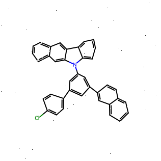 Clc1ccc(-c2cc(-c3ccc4ccccc4c3)cc(-n3c4ccccc4c4cc5ccccc5cc43)c2)cc1